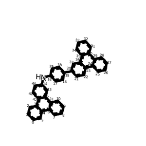 c1ccc2c(c1)c1ccccc1c1cc(Nc3ccc(-c4ccc5c6ccccc6c6ccccc6c5c4)cc3)ccc21